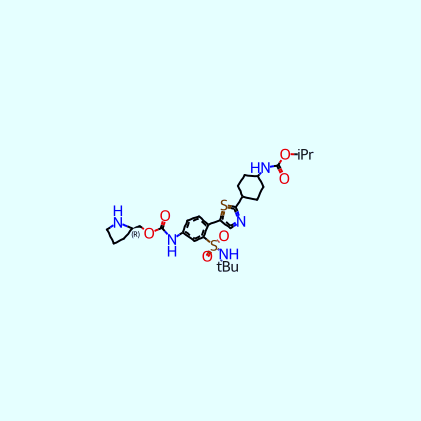 CC(C)OC(=O)NC1CCC(c2ncc(-c3ccc(NC(=O)OC[C@H]4CCCN4)cc3S(=O)(=O)NC(C)(C)C)s2)CC1